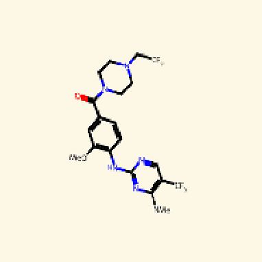 CNc1nc(Nc2ccc(C(=O)N3CCN(CC(F)(F)F)CC3)cc2OC)ncc1C(F)(F)F